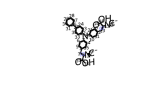 [C-]#[N+]/C(=C\c1ccc(N(c2ccc(/C=C(/[N+]#[C-])C(=O)O)cc2)c2ccc(-c3ccccc3)cc2)cc1)C(=O)O